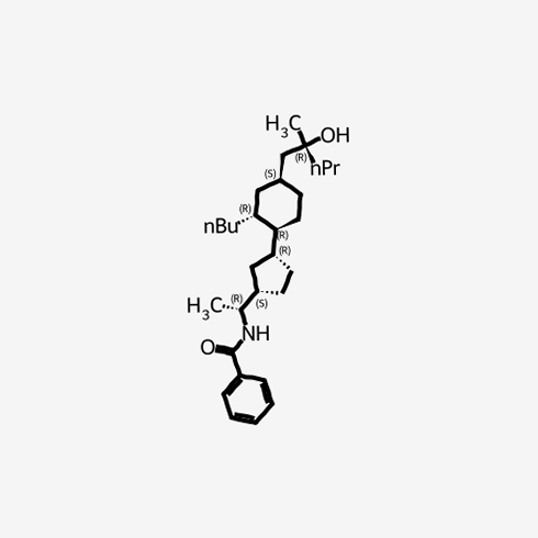 CCCC[C@@H]1C[C@@H](C[C@](C)(O)CCC)CC[C@H]1[C@@H]1CC[C@H]([C@@H](C)NC(=O)c2ccccc2)C1